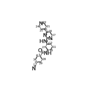 N#Cc1ccc(C(=O)Nc2cccc(Nc3nccc(-c4ccncc4)n3)c2)cc1